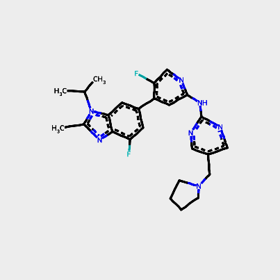 Cc1nc2c(F)cc(-c3cc(Nc4ncc(CN5CCCC5)cn4)ncc3F)cc2n1C(C)C